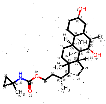 CC[C@@H]1C2C[C@H](O)CC[C@]2(C)[C@H]2CCC3(C)[C@@H]([C@H](C)CCOC(=O)NC4(C)CC4)CC[C@H]3[C@@H]2[C@@H]1O